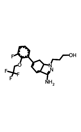 NC1=NN(CCCO)C2CC(c3cccc(F)c3OCC(F)(F)F)=CC=C12